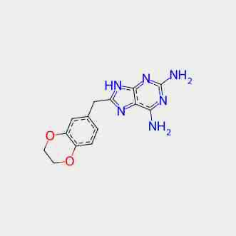 Nc1nc(N)c2nc(Cc3ccc4c(c3)OCCO4)[nH]c2n1